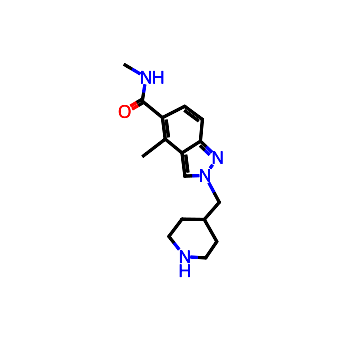 CNC(=O)c1ccc2nn(CC3CCNCC3)cc2c1C